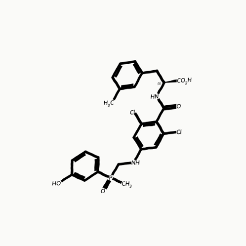 Cc1cccc(C[C@H](NC(=O)c2c(Cl)cc(NCP(C)(=O)c3cccc(O)c3)cc2Cl)C(=O)O)c1